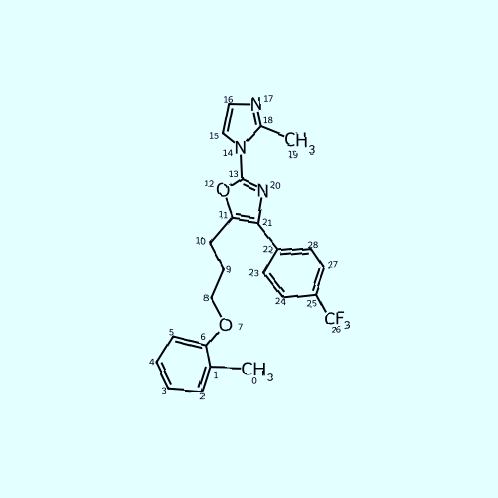 Cc1ccccc1OCCCc1oc(-n2ccnc2C)nc1-c1ccc(C(F)(F)F)cc1